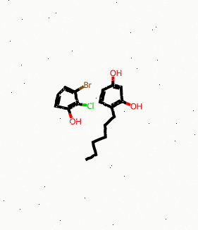 CCCCCCc1ccc(O)cc1O.Oc1cccc(Br)c1Cl